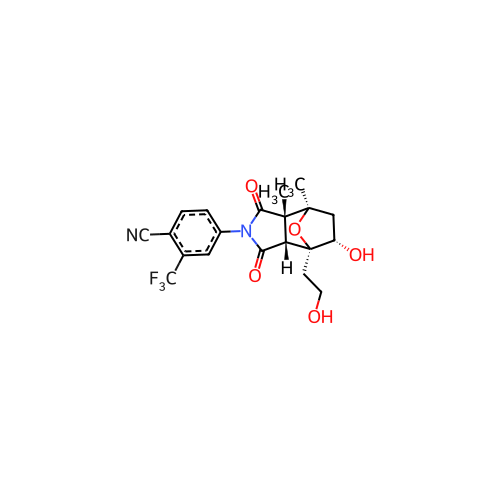 C[C@]12C[C@H](O)[C@](CCO)(O1)[C@@H]1C(=O)N(c3ccc(C#N)c(C(F)(F)F)c3)C(=O)[C@@]12C